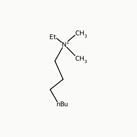 CCCCCCC[N+](C)(C)CC